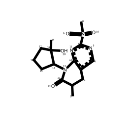 CC1Cc2cnc(S(C)(=O)=O)nc2N(C2CCCC2(C)O)C1=O